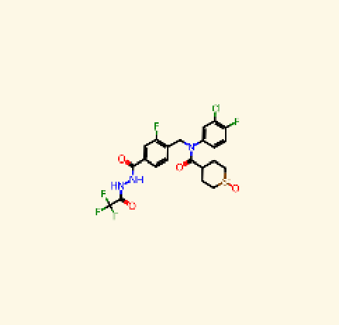 O=C(NNC(=O)C(F)(F)F)c1ccc(CN(C(=O)C2CC[S+]([O-])CC2)c2ccc(F)c(Cl)c2)c(F)c1